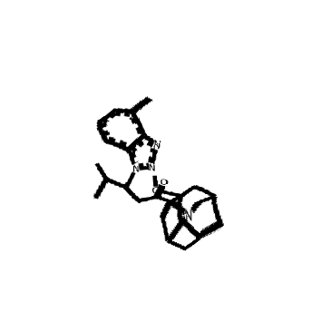 COC12CC3CC(C1)N(C(=O)CC(C(C)C)n1nnc4c(C)cccc41)C(C3)C2